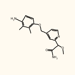 COC(C(N)=O)c1cc(COc2ccc(N)c(C)c2C)ccn1